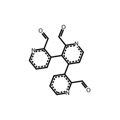 O=Cc1ncccc1-c1ccnc(C=O)c1-c1cccnc1C=O